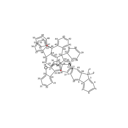 CC1(C)c2ccccc2-c2ccc(N(c3ccc4oc5ccccc5c4c3)c3ccccc3C3(c4ccccc4)c4ccccc4C4(c5ccccc5)c5ccccc5-c5cccc3c54)cc21